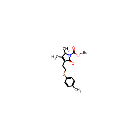 CC1=C(CCSc2ccc(C)cc2)C(=O)N(C(=O)OC(C)(C)C)C1C